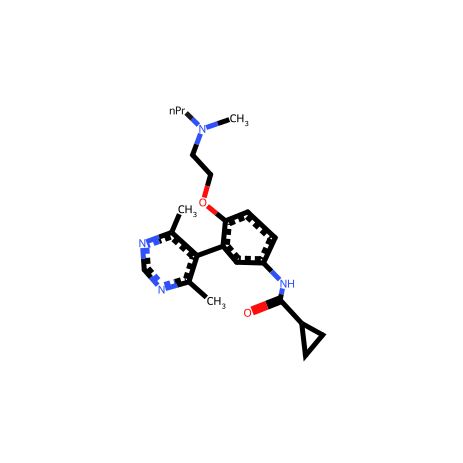 CCCN(C)CCOc1ccc(NC(=O)C2CC2)cc1-c1c(C)ncnc1C